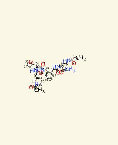 C=CC(=O)NCC[C@H](NC(=O)Cc1ccccc1CNC(=O)[C@H](Cc1ccco1)NC(=O)C[C@H]1CCCN(C(C)=O)C1)C(N)=O